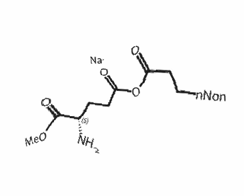 CCCCCCCCCCCC(=O)OC(=O)CC[C@H](N)C(=O)OC.[Na]